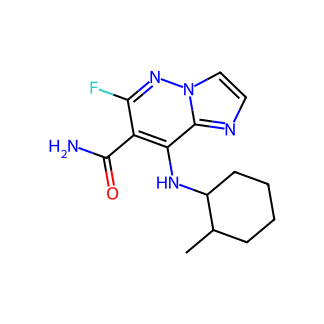 CC1CCCCC1Nc1c(C(N)=O)c(F)nn2ccnc12